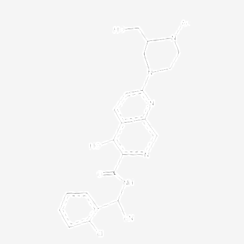 CC(=O)N1CCN(c2ccc3c(O)c(C(=O)NC(C#N)c4ccccc4Cl)ncc3n2)CC1CO